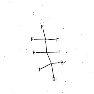 FC(F)(F)C(F)(I)C(Br)(Br)I